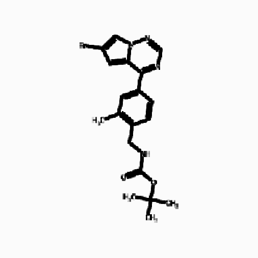 Cc1cc(-c2ncnn3cc(Br)cc23)ccc1CNC(=O)OC(C)(C)C